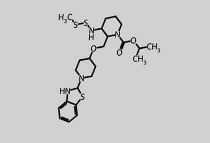 CSSNC1CCCN(C(=O)OC(C)C)C1COC1CCN(C2Nc3ccccc3S2)CC1